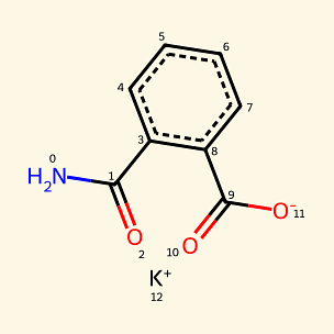 NC(=O)c1ccccc1C(=O)[O-].[K+]